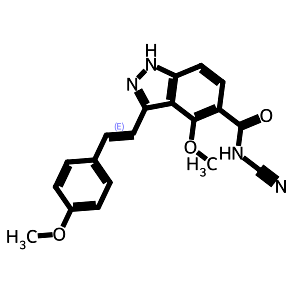 COc1ccc(/C=C/c2n[nH]c3ccc(C(=O)NC#N)c(OC)c23)cc1